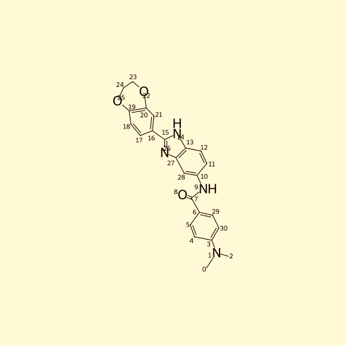 CN(C)c1ccc(C(=O)Nc2ccc3[nH]c(-c4ccc5c(c4)OCCO5)nc3c2)cc1